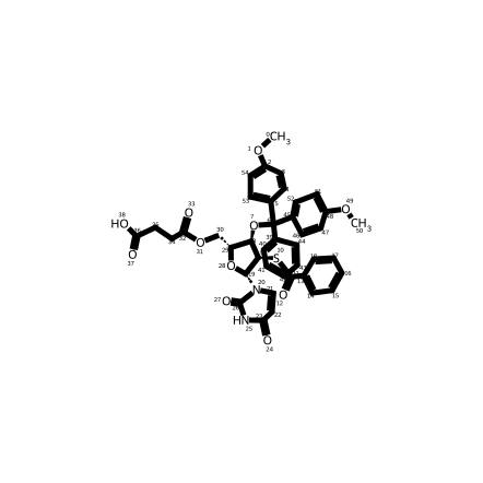 COc1ccc(C(O[C@H]2[C@@H](SC(=O)c3ccccc3)[C@H](n3ccc(=O)[nH]c3=O)O[C@@H]2COC(=O)CCC(=O)O)(c2ccccc2)c2ccc(OC)cc2)cc1